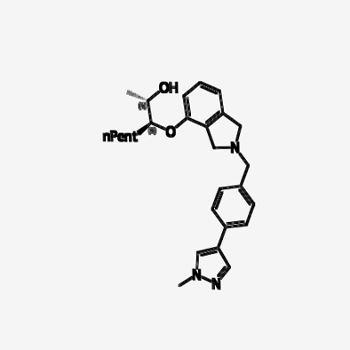 CCCCC[C@H](Oc1cccc2c1CN(Cc1ccc(-c3cnn(C)c3)cc1)C2)[C@H](C)O